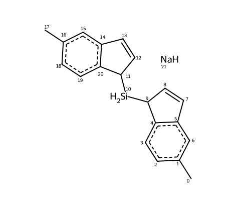 Cc1ccc2c(c1)C=CC2[SiH2]C1C=Cc2cc(C)ccc21.[NaH]